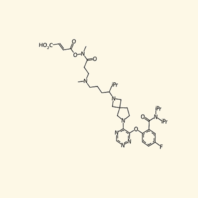 CC(C)C(CCCN(C)CCC(=O)N(C)OC(=O)/C=C/C(=O)O)N1CC2(CCN(c3ncnnc3Oc3ccc(F)cc3C(=O)N(C(C)C)C(C)C)C2)C1